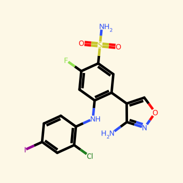 Nc1nocc1-c1cc(S(N)(=O)=O)c(F)cc1Nc1ccc(I)cc1Cl